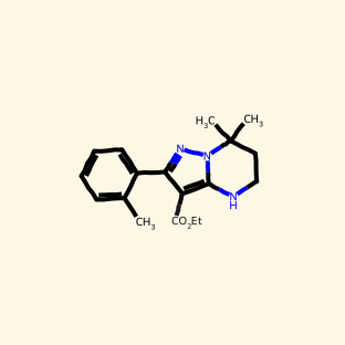 CCOC(=O)c1c(-c2ccccc2C)nn2c1NCCC2(C)C